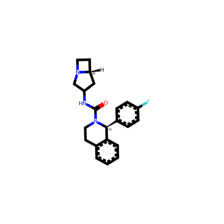 O=C(NC1C[C@H]2CCN2C1)N1CCc2ccccc2[C@@H]1c1ccc(F)cc1